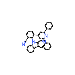 N#Cc1cccc(-c2cc(-c3ccccc3)nc(-c3ccccc3)c2)c1-n1c2ccccc2c2ccncc21